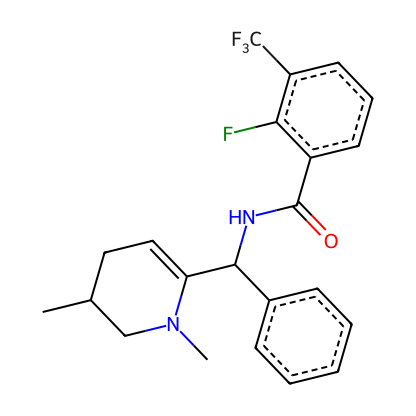 CC1CC=C(C(NC(=O)c2cccc(C(F)(F)F)c2F)c2ccccc2)N(C)C1